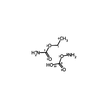 CCOC(N)=O.NOC(=O)O